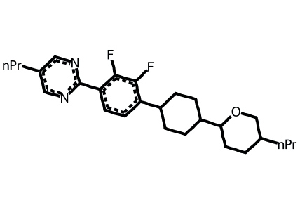 CCCc1cnc(-c2ccc(C3CCC(C4CCC(CCC)CO4)CC3)c(F)c2F)nc1